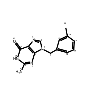 Nc1nc2c(ncn2Cc2cccc(F)c2)c(=O)[nH]1